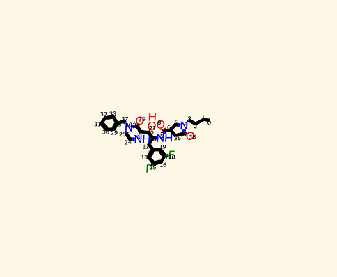 CCCCN1CC(C(=O)NC(Cc2cc(F)cc(F)c2)[C@H](O)[C@@H]2NCCN(Cc3ccccc3)C2=O)CC1=O